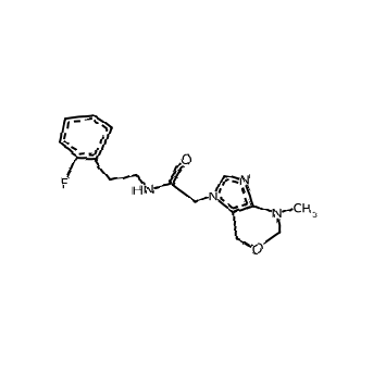 CN1COCc2c1ncn2CC(=O)NCCc1ccccc1F